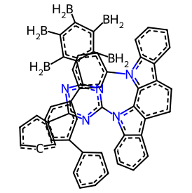 Bc1c(B)c(B)c(-c2nc(-c3ccccc3)nc(-n3c4ccccc4c4ccc5c6ccccc6n(-c6cccc(-c7cccc(-c8ccccc8)c7)c6)c5c43)n2)c(B)c1B